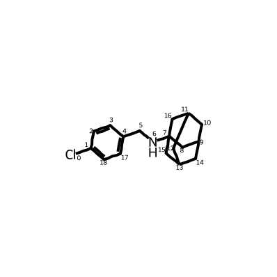 Clc1ccc(CNC23CC4CC(CC(C4)C2)C3)cc1